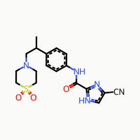 CC(CN1CCS(=O)(=O)CC1)c1ccc(NC(=O)c2nc(C#N)c[nH]2)cc1